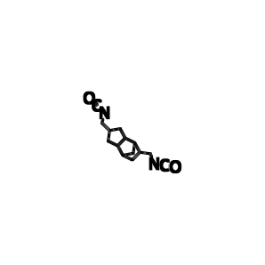 O=C=NCC1CC2C3CC(CN=C=O)C(C3)C2C1